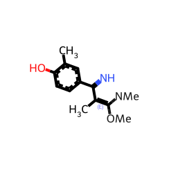 CN/C(OC)=C(/C)C(=N)c1ccc(O)c(C)c1